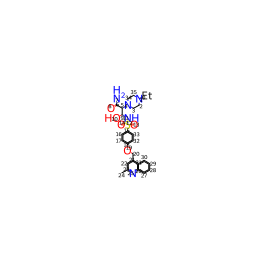 CCN1CCN(C(C(N)=O)C(O)NS(=O)(=O)c2ccc(OCc3cc(C)nc4ccccc34)cc2)CC1